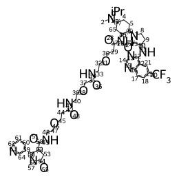 CC(C)N(C)[C@@H]1CC[C@H](N2CC[C@H](Nc3ncnc4ccc(C(F)(F)F)cc34)C2=O)[C@H](NC(=O)CCOCCNC(=O)COCCNC(=O)CCOCCNC(=O)[C@H]2CC(=O)N(C)[C@@H]2c2cccnc2)C1